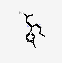 CC/C=C\C(=C/C(C)O)n1cnc(C)c1